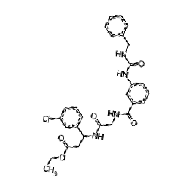 CCOC(=O)CC(NC(=O)CNC(=O)c1cccc(NC(=O)NCc2ccccc2)c1)c1cccc(Cl)c1